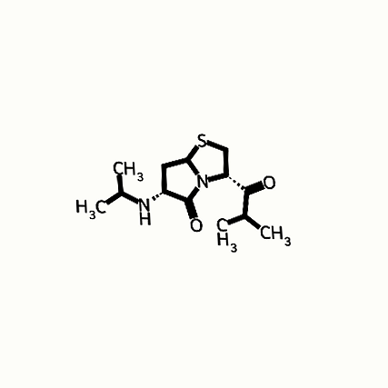 CC(C)N[C@@H]1CC2SC[C@H](C(=O)C(C)C)N2C1=O